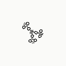 C[Si]1(C)c2ccccc2N(c2ccc(-c3nc(-c4ccc(N5c6ccccc6[Si](C)(C)c6ccccc65)cc4)n(-c4ccc(N5c6ccccc6[Si](C)(C)c6ccccc65)cc4)n3)cc2)c2ccccc21